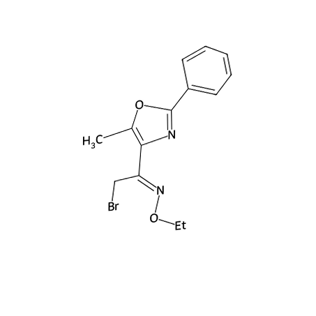 CCON=C(CBr)c1nc(-c2ccccc2)oc1C